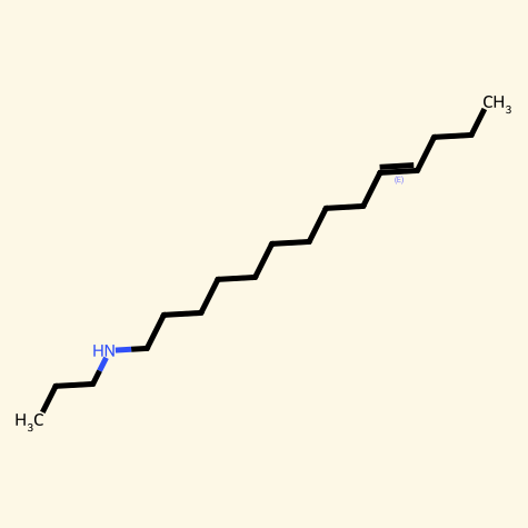 CCC/C=C/CCCCCCCCCNCCC